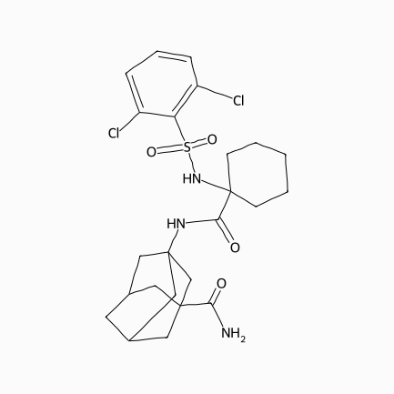 NC(=O)C12CC3CC(CC(NC(=O)C4(NS(=O)(=O)c5c(Cl)cccc5Cl)CCCCC4)(C3)C1)C2